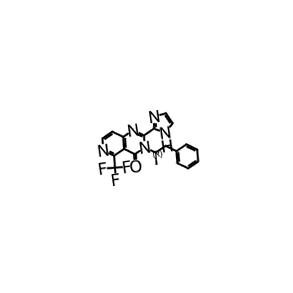 C[C@H](Cc1ccccc1)n1c(-c2ncc[nH]2)nc2ccnc(C(F)(F)F)c2c1=O